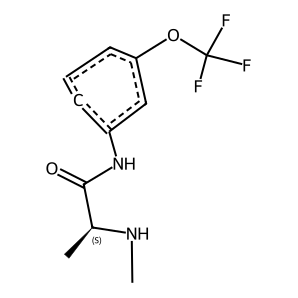 CN[C@@H](C)C(=O)Nc1cccc(OC(F)(F)F)c1